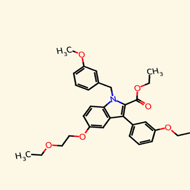 CCOCCOc1ccc2c(c1)c(-c1cccc(OCC3CC3)c1)c(C(=O)OCC)n2Cc1cccc(OC)c1